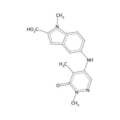 Cc1c(Nc2ccc3c(c2)cc(C(=O)O)n3C)cnn(C)c1=O